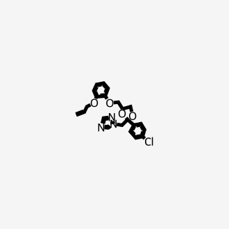 C=CCOc1ccccc1OCC1COC(Cn2cncn2)(c2ccc(Cl)cc2)O1